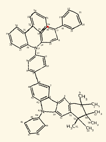 CC1(C)c2cc3c4cc(-c5ccc(N(c6ccc(-c7ccccc7)cc6)c6ccccc6-c6ccccc6)cc5)ccc4n(-c4ccccc4)c3cc2C(C)(C)C1(C)C